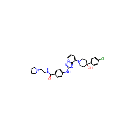 O=C(NCCN1CCCC1)c1ccc(Nc2nc3c(N4CCC(O)(c5ccc(Cl)cc5)CC4)cccn3n2)cc1